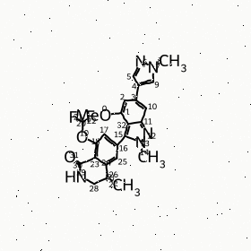 COc1cc(-c2cnn(C)c2)cc2nn(C)c(-c3cc(OC(F)F)c4c(c3)[C@@H](C)CNC4=O)c12